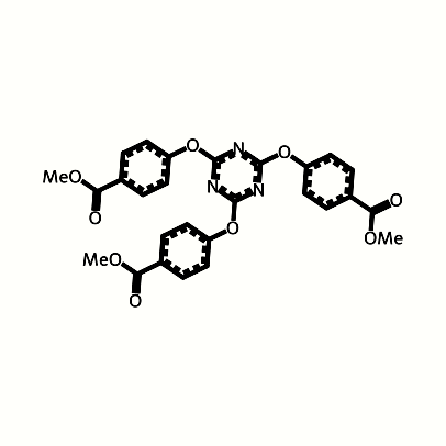 COC(=O)c1ccc(Oc2nc(Oc3ccc(C(=O)OC)cc3)nc(Oc3ccc(C(=O)OC)cc3)n2)cc1